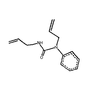 C=CCNC(=O)N(CC=C)c1ccccc1